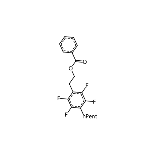 CCCCCc1c(F)c(F)c(CCOC(=O)c2ccccc2)c(F)c1F